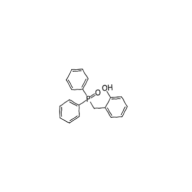 O=P(Cc1ccccc1O)(c1ccccc1)c1ccccc1